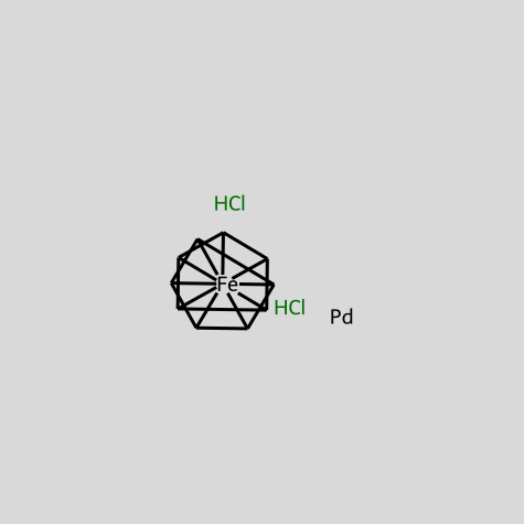 Cl.Cl.[CH]12[CH]3[CH]4[CH]5[CH]1[Fe]23451678[CH]2[CH]1[CH]6[CH]7[CH]28.[Pd]